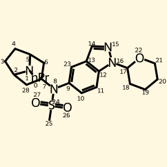 CCCN1C2CCC1CC(N(c1ccc3c(cnn3C3CCCCO3)c1)S(C)(=O)=O)C2